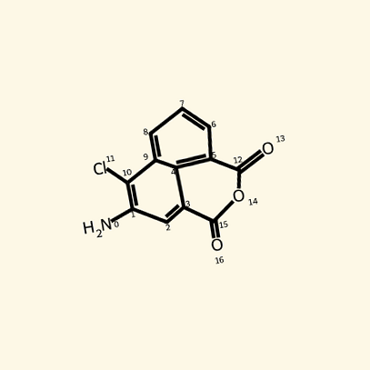 Nc1cc2c3c(cccc3c1Cl)C(=O)OC2=O